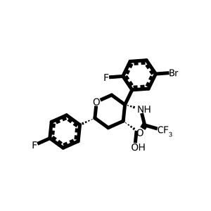 O=C(N[C@@]1(c2cc(Br)ccc2F)CO[C@@H](c2ccc(F)cc2)C[C@H]1CO)C(F)(F)F